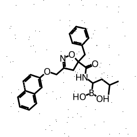 CC(C)CC(NC(=O)C1(Cc2ccccc2)CC(COc2ccc3ccccc3c2)=NO1)B(O)O